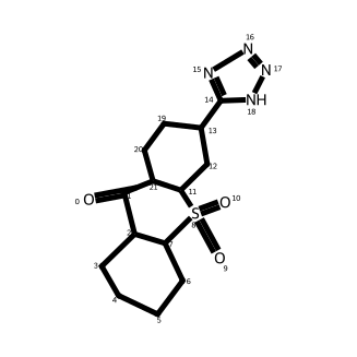 O=C1C2CCCCC2S(=O)(=O)C2CC(c3nnn[nH]3)CCC12